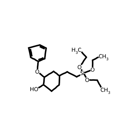 CCO[Si](CCC1CCC(O)C(Oc2ccccc2)C1)(OCC)OCC